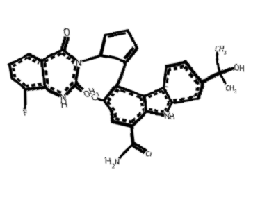 Cc1cc(C(N)=O)c2[nH]c3cc(C(C)(C)O)ccc3c2c1C1=CC=CC1n1c(=O)[nH]c2c(F)cccc2c1=O